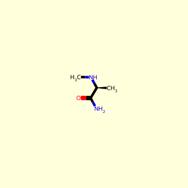 CN[C@@H](C)C(N)=O